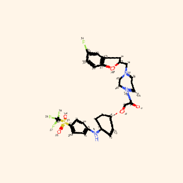 O=C(CO[C@H]1CC[C@H](Nc2ccc(S(=O)(=O)C(F)(F)F)cc2)CC1)N1CCN(CC2Cc3cc(F)ccc3O2)CC1